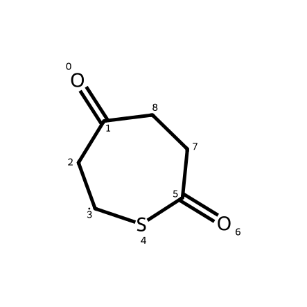 O=C1C[CH]SC(=O)CC1